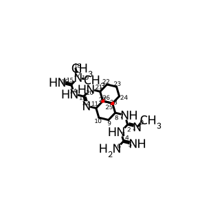 C/N=C(/NC(=N)N)NC1CCC(/N=C(/NC(=N)N(C)C)NC2CCCCC2)CC1